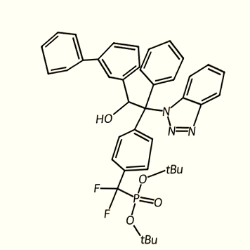 CC(C)(C)OP(=O)(OC(C)(C)C)C(F)(F)c1ccc(C(c2ccccc2)(C(O)c2cccc(-c3ccccc3)c2)n2nnc3ccccc32)cc1